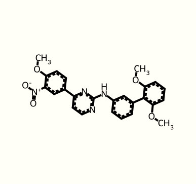 COc1ccc(-c2ccnc(Nc3cccc(-c4c(OC)cccc4OC)c3)n2)cc1[N+](=O)[O-]